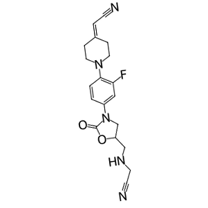 N#CC=C1CCN(c2ccc(N3CC(CNCC#N)OC3=O)cc2F)CC1